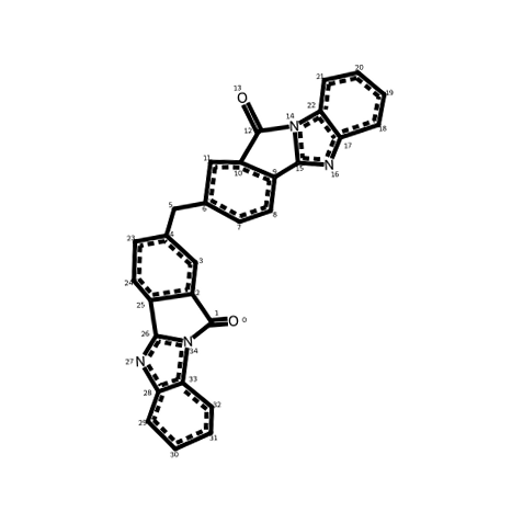 O=C1c2cc(Cc3ccc4c(c3)C(=O)n3c-4nc4ccccc43)ccc2-c2nc3ccccc3n21